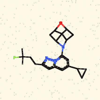 CC(C)(F)CCc1cc2cc(C3CC3)cc(N3C4CC5OC6CC3C564)n2n1